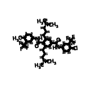 Cc1ccc(NC(=O)c2c(CCCN(C)C)cc(C(=O)Nc3ccc(Cl)c(C(F)(F)F)c3)cc2CCCN(C)C)cc1C(F)(F)F